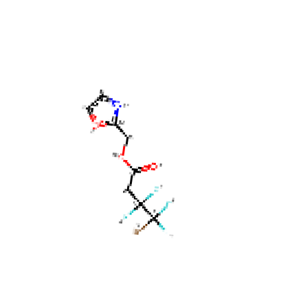 O=C(CC(F)(F)C(F)(F)Br)OCc1ncco1